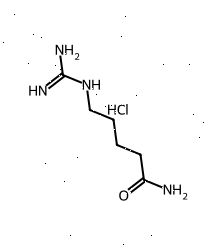 Cl.N=C(N)NCCCCC(N)=O